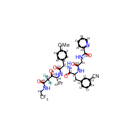 COc1ccc([C@H](NC(=O)[C@H](Cc2cccc(C#N)c2)NC(=O)CNC(=O)c2ccccn2)C(=O)N[C@H](C(=O)C(F)(F)C(=O)NCC(F)(F)F)C(C)C)cc1